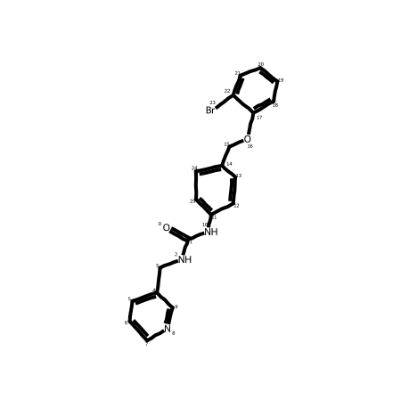 O=C(NCc1cccnc1)Nc1ccc(COc2ccccc2Br)cc1